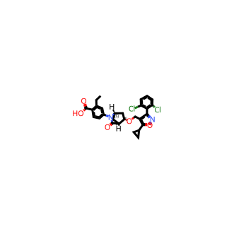 CCc1cc(N2C(=O)[C@@H]3C[C@H]2C[C@H]3OCc2c(-c3c(Cl)cccc3Cl)noc2C2CC2)ccc1C(=O)O